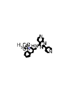 CS(=O)(=O)/N=C/C(CNc1nc(-c2ccncc2)nc2cnccc12)Cc1ccccc1